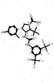 Cc1cc(F)ccc1[C@@H]1CN(C(=O)O)C(C(C)(C)C)[C@H]1NC(=O)Nc1cc(C(F)(F)F)cc(C(F)(F)F)c1